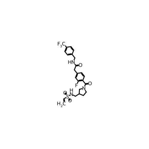 C=CS(=O)(=O)NCC1CCN(C(=O)c2ccc(CC(=O)NCc3ccc(C(F)(F)F)cc3)cc2F)C1